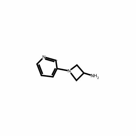 NC1CN(c2[c]nccc2)C1